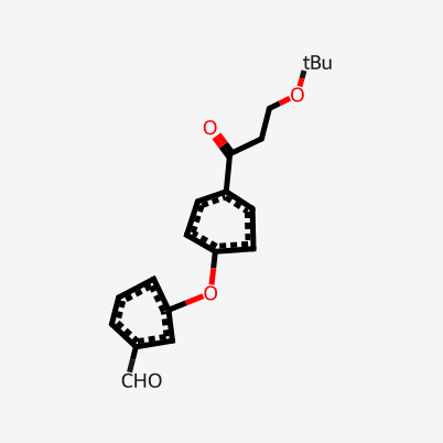 CC(C)(C)OCCC(=O)c1ccc(Oc2cccc(C=O)c2)cc1